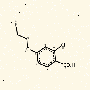 O=C(O)c1ccc(OCCF)cc1Cl